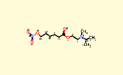 CC(C)N(C)CCOC(=O)CCCCCO[N+](=O)[O-]